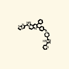 c1ccc(-c2cc3c(ccn4c(-c5cn6ccsc6n5)nnc34)nc2-c2ccc(CN3CCC(c4nnc(-c5ccccn5)[nH]4)CC3)cc2)cc1